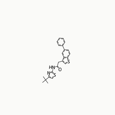 CC(C)(C)c1csc(NC(=O)Cc2csc3ccc(-c4ccccc4)cc23)n1